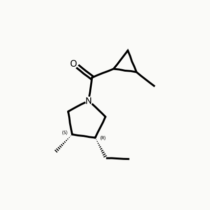 CC[C@H]1CN(C(=O)C2CC2C)C[C@H]1C